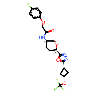 O=C(COc1ccc(F)cc1)N[C@H]1CC[C@H](c2nnc([C@H]3C[C@@H](OC(F)(F)F)C3)o2)OC1